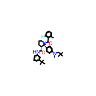 Cc1cccc(F)c1C(=O)N1CCC[C@H](C(=O)Nc2cccc(C(C)(C)C)c2)[C@@H]1c1ccc(N(C)CC(C)(C)C)cc1